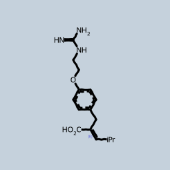 CC(C)/C=C(\Cc1ccc(OCCNC(=N)N)cc1)C(=O)O